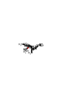 C[C@H](NC(=O)[C@H](CCCCN)NC(=O)[C@H](C)NC(=O)[C@@H](N)CCCNC(=N)N)C(=O)N[C@@H](CCCNC(=N)N)C(=O)N[C@@H](CCCCN)C(=O)O